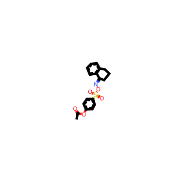 CC(=O)Oc1ccc(S(=O)(=O)ON=C2CCCc3ccccc32)cc1